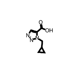 O=C(O)c1cnnn1CC1CC1